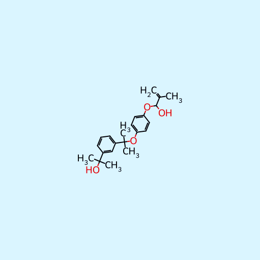 C=C(C)C(O)Oc1ccc(OC(C)(C)c2cccc(C(C)(C)O)c2)cc1